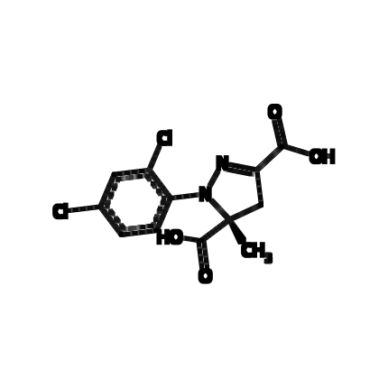 C[C@]1(C(=O)O)CC(C(=O)O)=NN1c1ccc(Cl)cc1Cl